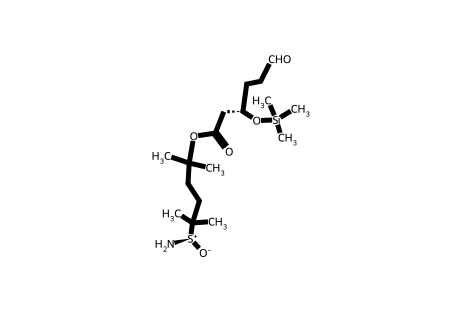 CC(C)(CCC(C)(C)[S@+](N)[O-])OC(=O)C[C@H](CCC=O)O[Si](C)(C)C